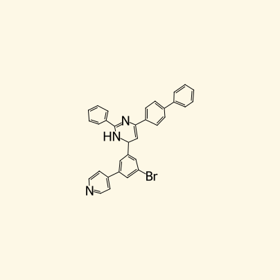 Brc1cc(-c2ccncc2)cc(C2C=C(c3ccc(-c4ccccc4)cc3)N=C(c3ccccc3)N2)c1